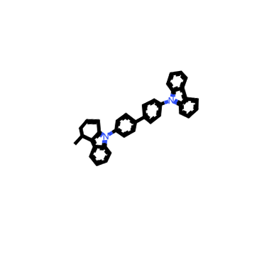 CC1CC=Cc2c1c1ccccc1n2-c1ccc(-c2ccc(-n3c4ccccc4c4ccccc43)cc2)cc1